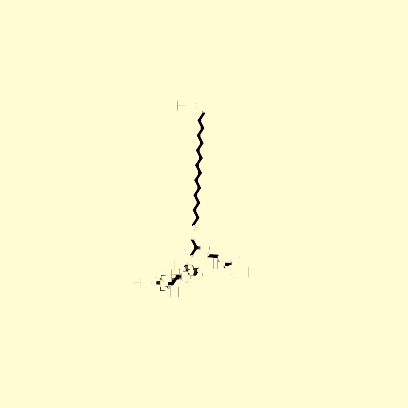 CCCCCCCCCCCCCCCCCSCC(COP(=O)(O)OCC[N+](C)(C)C)OCCNC(C)=O